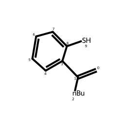 C=C(CCCC)c1ccccc1S